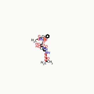 CCOC(=O)[C@H](C)NP(=O)(OC[C@H]1O[C@@H](n2ccc(NOCOC(=O)OC(C)C)nc2=O)[C@](C)(O)[C@@H]1O)Oc1ccccc1